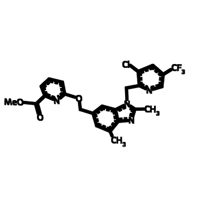 COC(=O)c1cccc(OCc2cc(C)c3nc(C)n(Cc4ncc(C(F)(F)F)cc4Cl)c3c2)n1